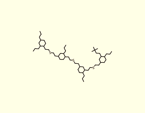 CCCC1CCC(CCSCCC2CCC(CCSCCC3CCC(CCC)C(CCSCCC4CCC(CCC)C(CCC(C)(C)C)C4)C3)C(CCC)C2)C(CCC)C1